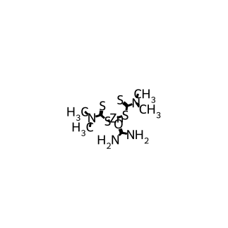 CN(C)C(=S)[S][Zn][S]C(=S)N(C)C.NC(N)=O